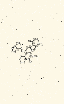 CC(C)(C)OC(=O)N1CCCCC1.Cc1ncsc1COc1ccc2oc(C)c(C(N)=O)c2c1